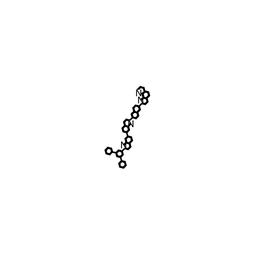 c1ccc(-c2cc(-c3ccccc3)cc(-c3ccc4ccc(-c5ccc6ccc(-c7ccc8cc(-c9ccc%10ccc%11cccnc%11c%10n9)ccc8c7)nc6c5)cc4n3)c2)cc1